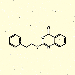 O=c1oc(SCCc2ccccc2)nc2ccccc12